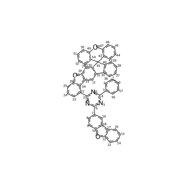 c1ccc(-c2nc(-c3ccc4oc5ccccc5c4c3)nc(-c3cccc4oc5cc6c(cc5c34)-c3ccccc3C63c4ccccc4Oc4ccccc43)n2)cc1